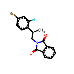 C[C@@H](CN1C(=O)c2ccccc2C1=O)c1ccc(Br)cc1F